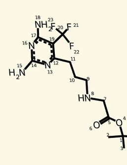 CC(C)(C)OC(=O)CNCCCc1nc(N)nc(N)c1C(F)(F)F